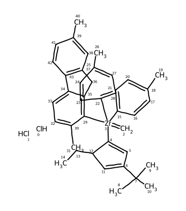 Cl.Cl.[CH2]=[Zr]([C]1=CC(C(C)(C)C)=CC1CC)([c]1ccc(C)cc1)([c]1ccc(C)cc1)[c]1c(C)ccc2c1Cc1cc(C)ccc1-2